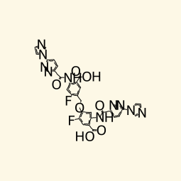 O=C(Nc1cc(OCc2cc(C(=O)O)c(NC(=O)c3ccc(-n4ccnc4)nn3)cc2F)c(F)cc1C(=O)O)c1ccc(-n2ccnc2)nn1